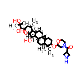 C[C@@H]1C[C@H](C(O)C(C)(C)O)O[C@H]2C1[C@@]1(C)CC[C@@]34CC35CCC(OC3CN(C(=O)C6CNC6)CCO3)C(C)(C)[C@@H]5CC[C@H]4[C@]1(C)[C@H]2O